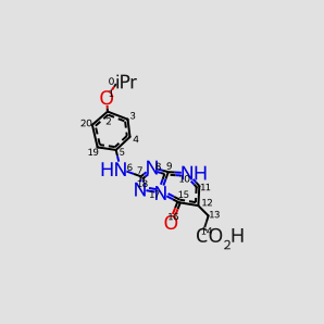 CC(C)Oc1ccc(Nc2nc3[nH]cc(CC(=O)O)c(=O)n3n2)cc1